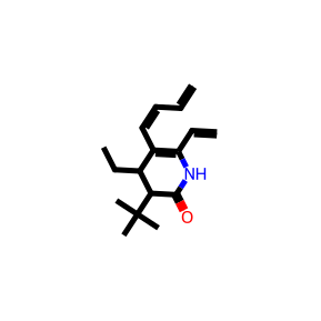 C=C/C=C\C1=C(C=C)NC(=O)C(C(C)(C)C)C1CC